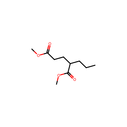 CCCC(CCC(=O)OC)C(=O)OC